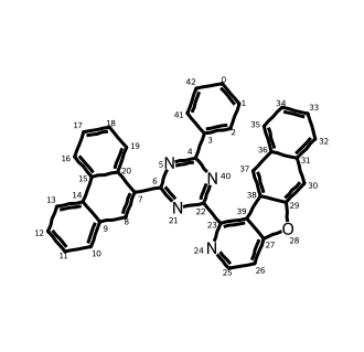 c1ccc(-c2nc(-c3cc4ccccc4c4ccccc34)nc(-c3nccc4oc5cc6ccccc6cc5c34)n2)cc1